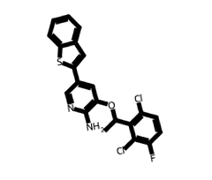 CC(Oc1cc(-c2cc3ccccc3s2)cnc1N)c1c(Cl)ccc(F)c1Cl